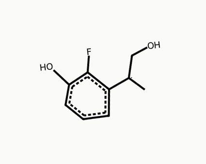 C[C](CO)c1cccc(O)c1F